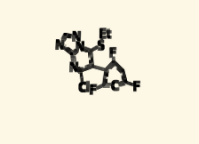 CCSc1c(-c2c(F)cc(F)cc2F)c(Cl)nc2ncnn12